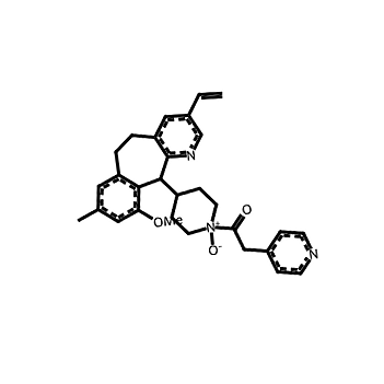 C=Cc1cnc2c(c1)CCc1cc(C)cc(OC)c1C2C1CC[N+]([O-])(C(=O)Cc2ccncc2)CC1